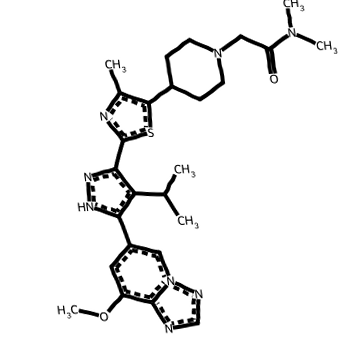 COc1cc(-c2[nH]nc(-c3nc(C)c(C4CCN(CC(=O)N(C)C)CC4)s3)c2C(C)C)cn2ncnc12